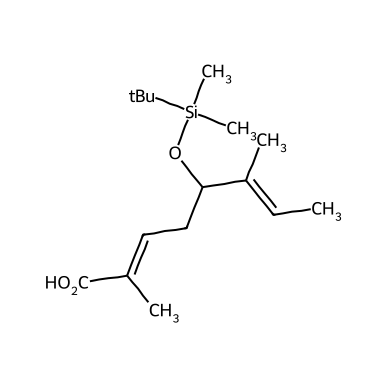 CC=C(C)C(CC=C(C)C(=O)O)O[Si](C)(C)C(C)(C)C